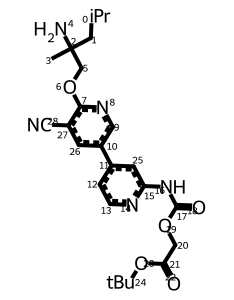 CC(C)CC(C)(N)COc1ncc(-c2ccnc(NC(=O)OCC(=O)OC(C)(C)C)c2)cc1C#N